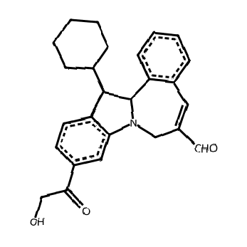 O=CC1=Cc2ccccc2C2C(C3CCCCC3)c3ccc(C(=O)CO)cc3N2C1